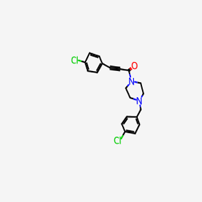 O=C(C#Cc1ccc(Cl)cc1)N1CCN(Cc2ccc(Cl)cc2)CC1